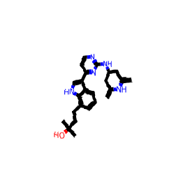 C=C1CC(Nc2nccc(-c3c[nH]c4c(CCC(C)(C)O)cccc34)n2)CC(=C)N1